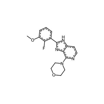 COc1cccc(-c2nc3c(N4CCOCC4)nccc3[nH]2)c1F